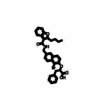 CCCCc1oc2ccccc2c1C(=O)NCc1ccc2c(Br)c(OC(Cc3ccccc3)C(=O)O)ccc2c1